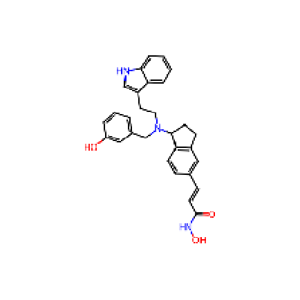 O=C(/C=C/c1ccc2c(c1)CCC2N(CCc1c[nH]c2ccccc12)Cc1cccc(O)c1)NO